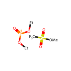 CCO[PH](=O)OCC.COS(=O)(=O)C(F)(F)F